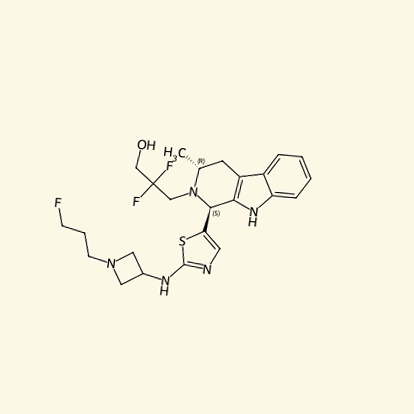 C[C@@H]1Cc2c([nH]c3ccccc23)[C@@H](c2cnc(NC3CN(CCCF)C3)s2)N1CC(F)(F)CO